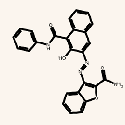 NC(=O)c1oc2ccccc2c1/N=N/c1cc2ccccc2c(C(=O)Nc2ccccc2)c1O